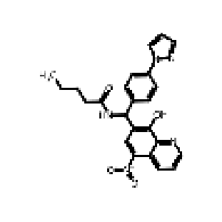 CCCCC(=O)NC(c1ccc(-n2cccn2)cc1)c1cc([N+](=O)[O-])c2cccnc2c1O